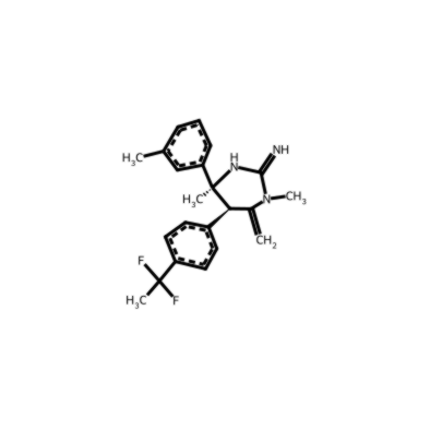 C=C1[C@@H](c2ccc(C(C)(F)F)cc2)[C@@](C)(c2cccc(C)c2)NC(=N)N1C